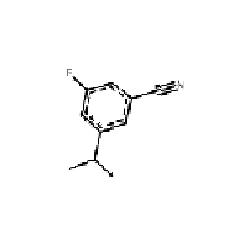 CC(C)c1cc(F)cc(C#N)c1